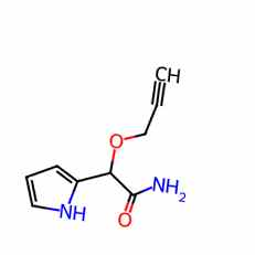 C#CCOC(C(N)=O)c1ccc[nH]1